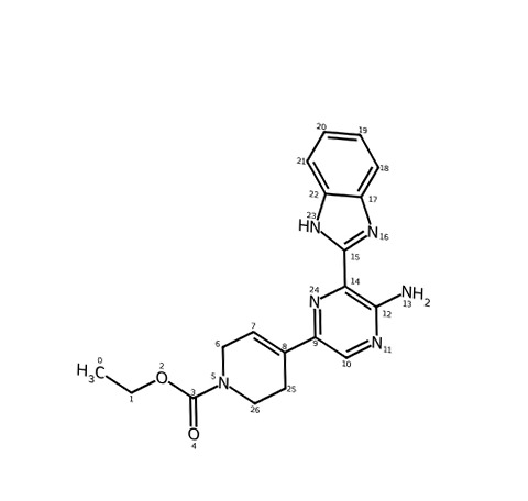 CCOC(=O)N1CC=C(c2cnc(N)c(-c3nc4ccccc4[nH]3)n2)CC1